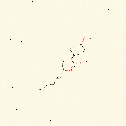 CCCCCC[C@@H]1CC[C@@H](C2CCC(OC)CC2)C(=O)O1